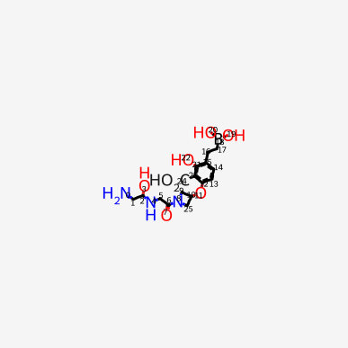 NCC(O)NCC(=O)N1CC(Oc2ccc(CCB(O)O)c(O)c2C(=O)O)C1